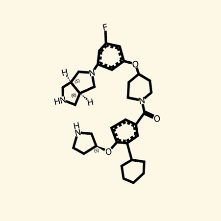 O=C(c1ccc(O[C@H]2CCNC2)c(C2CCCCC2)c1)N1CCC(Oc2cc(F)cc(N3C[C@H]4CNC[C@H]4C3)c2)CC1